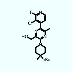 CCCCC1(C)CCN(c2nc(C)c(-c3ccnc(F)c3Cl)nc2CO)CC1